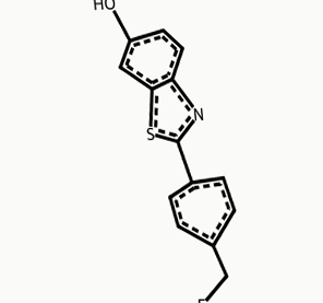 Oc1ccc2nc(-c3ccc(CF)cc3)sc2c1